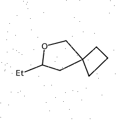 CCC1CC2(CCC2)CO1